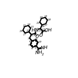 N=C(N)c1ccc(CC(C(=O)NC(C(=O)O)C2CCCCC2)C2CCCCC2)cc1